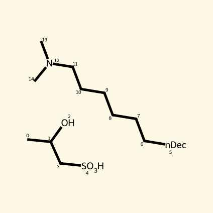 CC(O)CS(=O)(=O)O.CCCCCCCCCCCCCCCCN(C)C